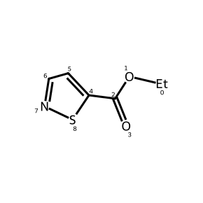 CCOC(=O)c1ccns1